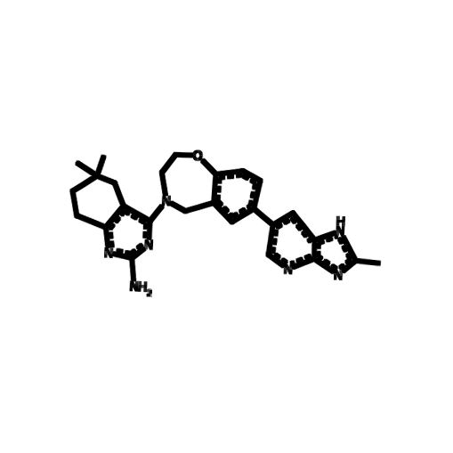 Cc1nc2ncc(-c3ccc4c(c3)CN(c3nc(N)nc5c3CC(C)(C)CC5)CCO4)cc2[nH]1